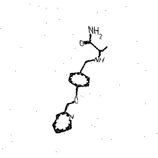 CC(NCc1ccc(OCc2ccccn2)cc1)C(N)=O